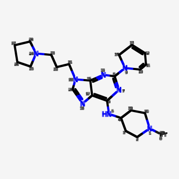 CC(C)N1CCC(Nc2nc(N3C=CC=CC3)nc3c2ncn3CCCN2CCCC2)CC1